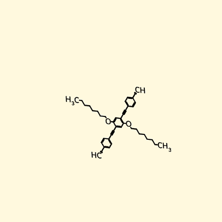 C#Cc1ccc(C#Cc2cc(OCCCCCCCC)c(C#Cc3ccc(C#C)cc3)cc2OCCCCCCCC)cc1